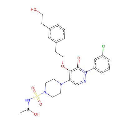 CB(O)NS(=O)(=O)N1CCN(c2cnn(-c3cccc(Cl)c3)c(=O)c2OCCc2cccc(CCO)c2)CC1